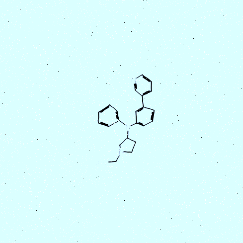 O=C(O)CN1CCC(N(c2ccccc2)c2cccc(-c3cccnc3)c2)C1